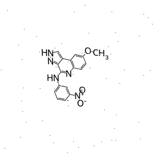 COc1ccc2nc(Nc3cc[c]c([N+](=O)[O-])c3)c3n[nH]cc3c2c1